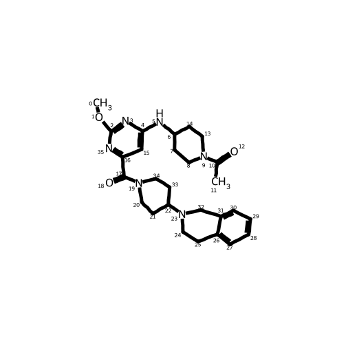 COc1nc(NC2CCN(C(C)=O)CC2)cc(C(=O)N2CCC(N3CCc4ccccc4C3)CC2)n1